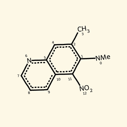 CNc1c(C)cc2ncccc2c1[N+](=O)[O-]